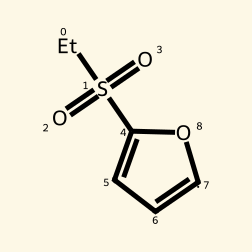 CCS(=O)(=O)c1cc[c]o1